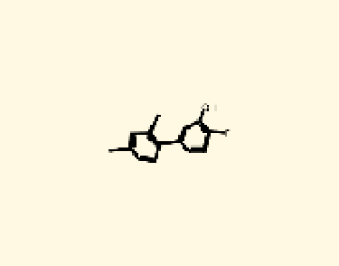 Cc1[c]c(C)c(-c2ccc(F)c(O)c2)cc1